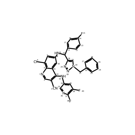 N#Cc1cnc2c(Cl)cc(NC(c3ccc(F)cc3)c3cn(Cc4ccccc4)nn3)cc2c1Nc1cnc(F)c(F)c1